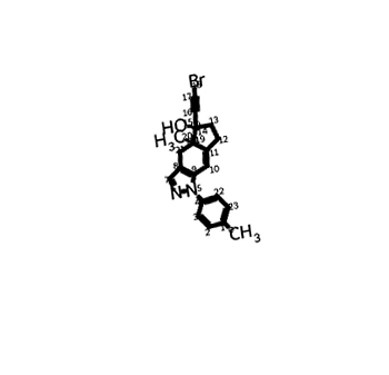 Cc1ccc(-n2ncc3c2C=C2CC[C@@](O)(C#CBr)[C@@]2(C)C3)cc1